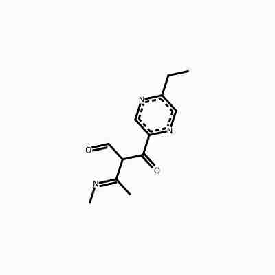 CCc1cnc(C(=O)C(C=O)/C(C)=N/C)cn1